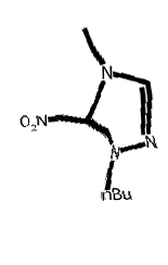 CCCCN1N=CN(C)C1[N+](=O)[O-]